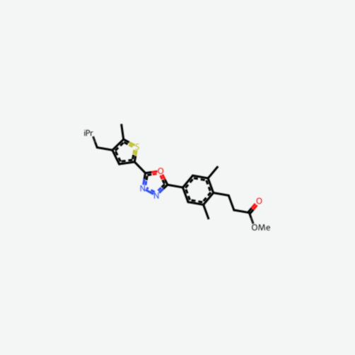 COC(=O)CCc1c(C)cc(-c2nnc(-c3cc(CC(C)C)c(C)s3)o2)cc1C